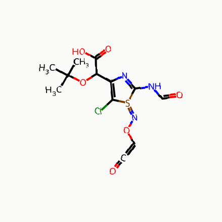 CC(C)(C)OC(C(=O)O)C1=C(Cl)S(=NOC=C=O)C(NC=O)=N1